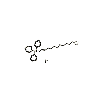 ClCCCCCCCCCC=CC[P+](c1ccccc1)(c1ccccc1)c1ccccc1.[I-]